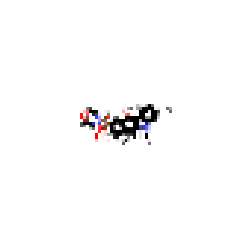 CC1(C)c2cc(O)c(S(=O)(=O)N3CCOCC3)cc2C(=O)c2c1[nH]c1cc(C#N)ccc21